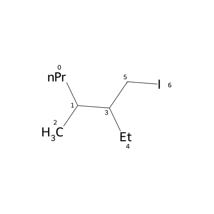 CCCC(C)C(CC)CI